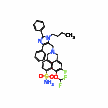 CCCCn1c(-c2ccccc2)nc(-c2ccccc2)c1CN(Cc1ccc(S(N)(=O)=O)cc1)Cc1ccc(OC(F)F)c(F)c1